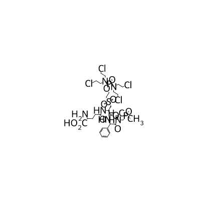 CP(C)(=O)CNC(=O)[C@H](NC(=O)[C@H](CS(=O)(=O)CCOP(=O)(N(CCCl)CCCl)N(CCCl)CCCl)NC(=O)CC[C@H](N)C(=O)O)c1ccccc1